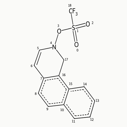 O=S(=O)(ON1C=Cc2ccc3ccccc3c2C1)C(F)(F)F